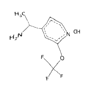 CC(N)c1ccnc(OC(F)(F)F)c1.Cl